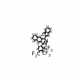 FC(F)(F)c1ccc(-c2nnc(-c3cc4ccccc4o3)c3cc4ccccc4cc23)c(C(F)(F)F)c1C(F)(F)F